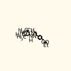 CCC(=O)OCc1ccc(-c2ccnc(NC3CC(C)(C)NC(C)(C)C3)n2)cc1